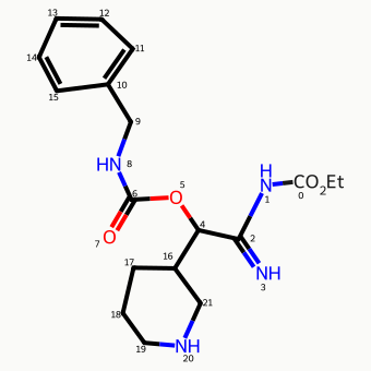 CCOC(=O)NC(=N)C(OC(=O)NCc1ccccc1)C1CCCNC1